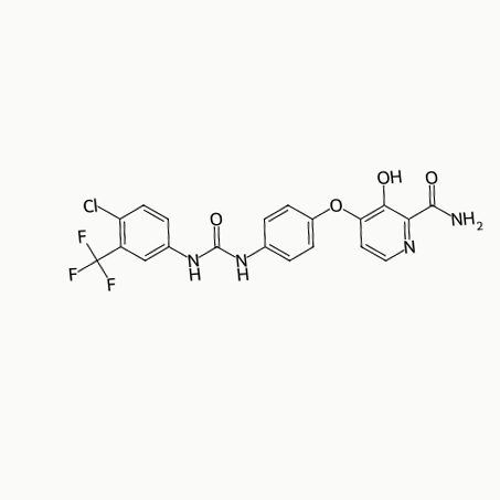 NC(=O)c1nccc(Oc2ccc(NC(=O)Nc3ccc(Cl)c(C(F)(F)F)c3)cc2)c1O